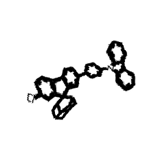 Clc1ccc2c(c1)C1(c3cc(-c4ccc(-n5c6ccccc6c6ccccc65)cc4)ccc3-2)C2CC3CC(C2)CC1C3